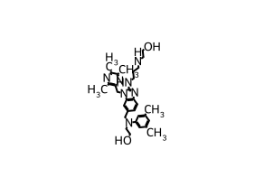 Cc1cc(C)cc(N(CCO)Cc2ccc3nc(NCCCNCCO)n(Cc4nc(C)c(C)nc4C)c3c2)c1